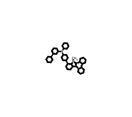 Cn1c2c(-c3ccc(N(c4ccccc4)c4cccc(-c5ccccc5)c4)cc3)cccc2c2c3ccccc3c3ccccc3c21